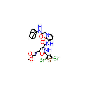 COC(=O)/C=C/CC[C@H](NC(=O)c1cc(Br)sc1Br)C(=O)Nc1cccn(CC(=O)NC2C3CC4CC(C3)CC2C4)c1=O